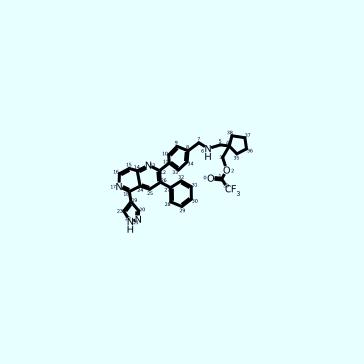 O=C(OCC1(CNCc2ccc(-c3nc4ccnc(-c5cn[nH]c5)c4cc3-c3ccccc3)cc2)CCCC1)C(F)(F)F